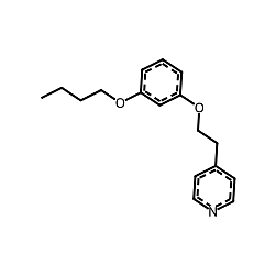 CCCCOc1cccc(OCCc2ccncc2)c1